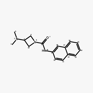 CN(C)C1CN(C(=O)Nc2ccc3ccccc3c2)C1